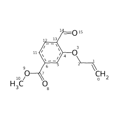 C=CCOc1cc(C(=O)OC)ccc1C=O